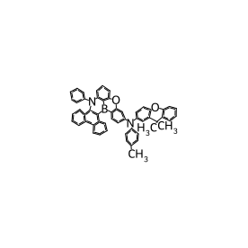 Cc1ccc(N(c2ccc3c(c2)Oc2cccc4c2B3c2c(c3ccccc3c3ccccc23)N4c2ccccc2)c2ccc3c(c2)C(C)(C)c2ccccc2O3)cc1